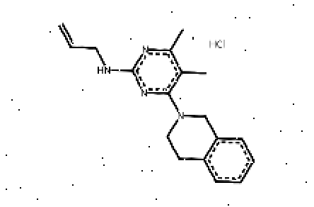 C=CCNc1nc(C)c(C)c(N2CCc3ccccc3C2)n1.Cl